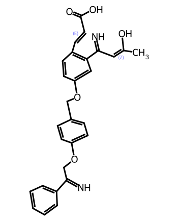 C/C(O)=C/C(=N)c1cc(OCc2ccc(OCC(=N)c3ccccc3)cc2)ccc1/C=C/C(=O)O